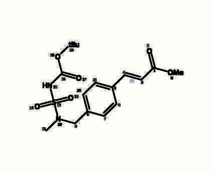 COC(=O)/C=C/c1ccc(CN(C)S(=O)(=O)NC(=O)OC(C)(C)C)cc1